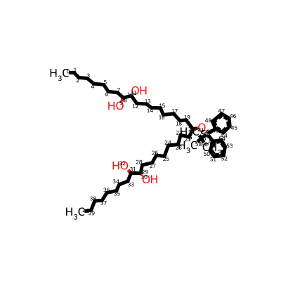 CCCCCCCCC(O)C(O)CCCCCCCCC(CCCCCCCCC(O)C(O)CCCCCCCC)O[Si](c1ccccc1)(c1ccccc1)C(C)(C)C